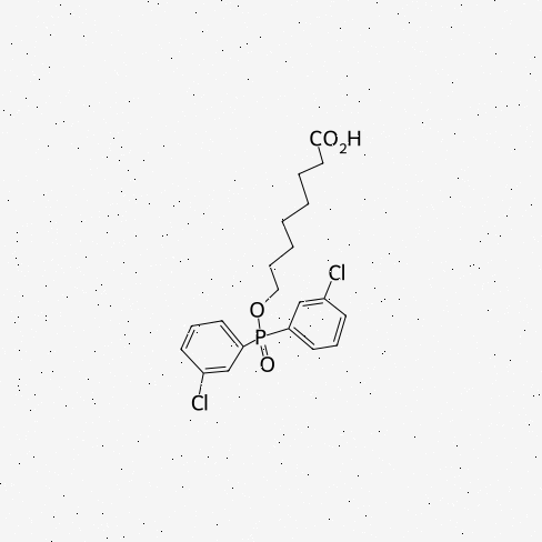 O=C(O)CCCCCCCOP(=O)(c1cccc(Cl)c1)c1cccc(Cl)c1